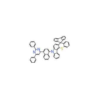 c1ccc(-c2cc(-c3ccc(-n4c5ccccc5c5c6c(ccc54)C4(c5ccccc5S6)c5ccccc5-c5ccccc54)c4ccccc34)nc(-c3ccccc3)n2)cc1